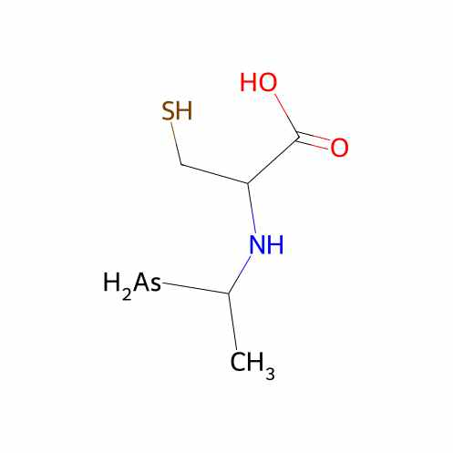 CC([AsH2])NC(CS)C(=O)O